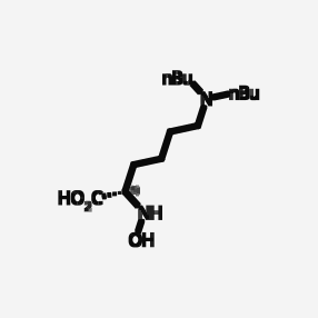 CCCCN(CCCC)CCCC[C@H](NO)C(=O)O